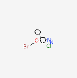 Cl/N=N\c1ccc(OCCCBr)c(-c2ccccc2)c1